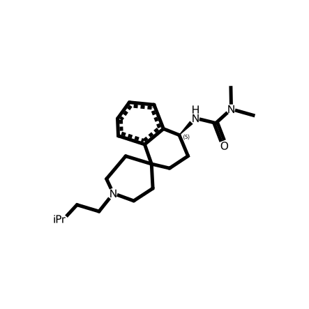 CC(C)CCN1CCC2(CC[C@H](NC(=O)N(C)C)c3ccccc32)CC1